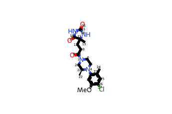 COc1cc(N2CCN(C(=O)CCC3(C)NC(=O)NC3=O)C[C@@H]2C)c(C)cc1Cl